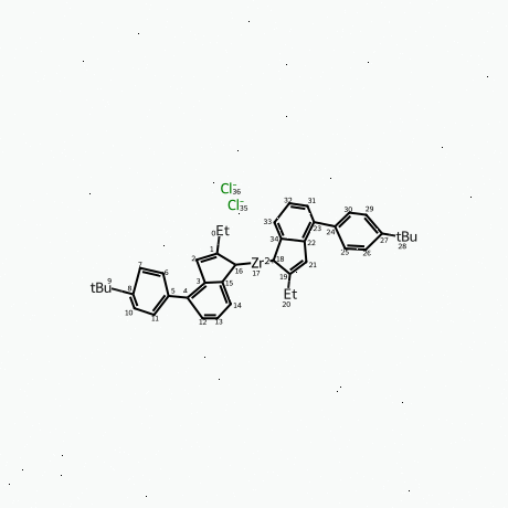 CCC1=Cc2c(-c3ccc(C(C)(C)C)cc3)cccc2[CH]1[Zr+2][CH]1C(CC)=Cc2c(-c3ccc(C(C)(C)C)cc3)cccc21.[Cl-].[Cl-]